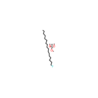 CCCCCCCCCCCCCCCCCF.CO[SiH](OC)OC